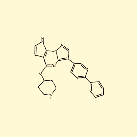 c1ccc(-c2ccc(-c3cnn4c3nc(OC3CCNCC3)c3cc[nH]c34)cn2)cc1